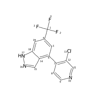 FC(F)(F)c1cc(-c2ccncc2Cl)c2cn[nH]c2c1